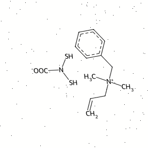 C=CC[N+](C)(C)Cc1ccccc1.O=C([O-])N(S)S